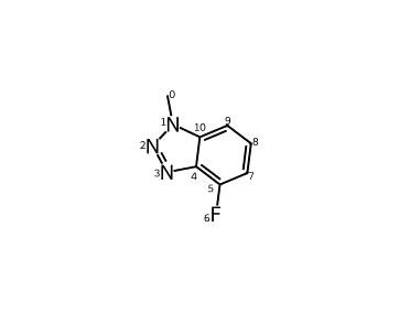 Cn1nnc2c(F)cccc21